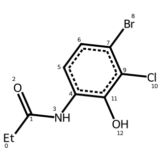 CCC(=O)Nc1ccc(Br)c(Cl)c1O